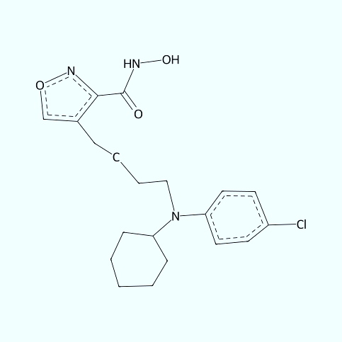 O=C(NO)c1nocc1CCCCN(c1ccc(Cl)cc1)C1CCCCC1